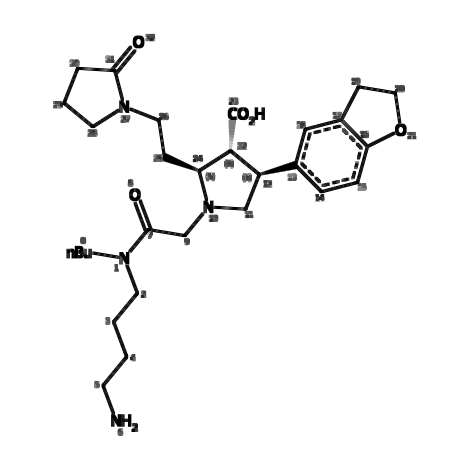 CCCCN(CCCCN)C(=O)CN1C[C@H](c2ccc3c(c2)CCO3)[C@@H](C(=O)O)[C@@H]1CCN1CCCC1=O